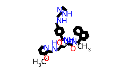 COc1cccnc1CNCCC[C@H](NC(=O)c1ccc(CNCc2ncc[nH]2)cc1)C(=O)N[C@@H](C)c1cccc2ccccc12